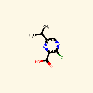 CC(C)c1cnc(Cl)c(C(=O)O)n1